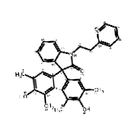 Cc1cc(C2(c3cc(C)c(O)c(C)c3)C(=O)N(CCc3ccccn3)c3ccccc32)cc(C)c1O